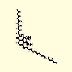 CCCCCCCCCCCCCCCCCCC(C)C(CCCCCCCCCCCCC)C(CC(=O)O)C(=O)O